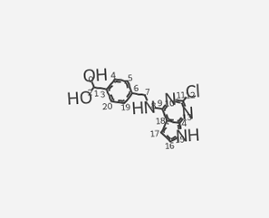 OC(O)c1ccc(CNc2nc(Cl)nc3[nH]ccc23)cc1